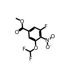 COC(=O)c1cc(F)c([N+](=O)[O-])c(OC(F)F)c1